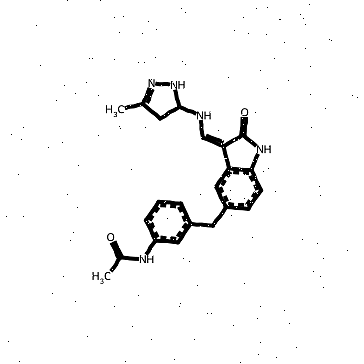 CC(=O)Nc1cccc(Cc2ccc3c(c2)/C(=C/NC2CC(C)=NN2)C(=O)N3)c1